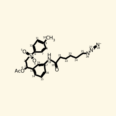 CC(=O)OC(CS(=O)(=O)c1ccc(C)cc1)c1cccc(NC(=O)CCCCCN=[N+]=[N-])c1